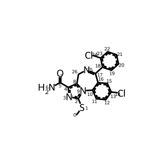 CSc1nc(C(N)=O)c2n1-c1ccc(Cl)cc1C(c1ccccc1Cl)=NC2